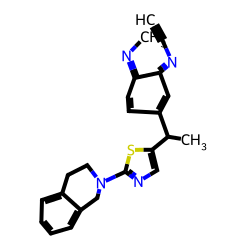 C#C/N=C1/C=C(C(C)c2cnc(N3CCc4ccccc4C3)s2)C=C/C1=N/C